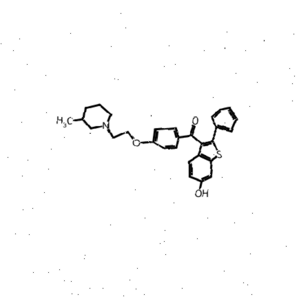 CC1CCCN(CCOc2ccc(C(=O)c3c(-c4ccccc4)sc4cc(O)ccc34)cc2)C1